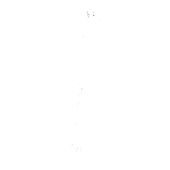 CCCCOCCCOCCCC[N]CCCCOCCCOCCCC